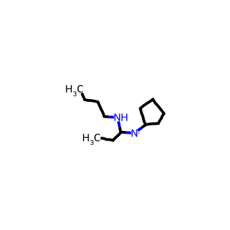 CCCCNC(CC)[N]C1CCCC1